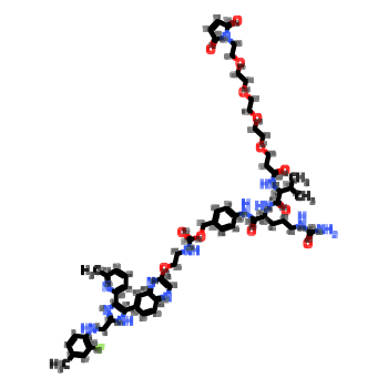 Cc1ccc(NCc2nc(-c3cccc(C)n3)c(-c3ccc4ncc(OCCNC(=O)OCc5ccc(NC(=O)[C@H](CCCNC(N)=O)NC(=O)C(NC(=O)CCOCCOCCOCCOCCN6C(=O)C=CC6=O)C(C)C)cc5)nc4c3)[nH]2)c(F)c1